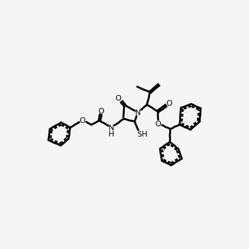 C=C(C)C(C(=O)OC(c1ccccc1)c1ccccc1)N1C(=O)C(NC(=O)COc2ccccc2)C1S